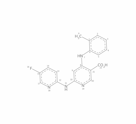 Cc1ccccc1Nc1cc(Nc2ccc(F)cn2)ncc1C(=O)O